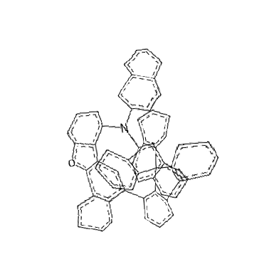 c1ccc2c(c1)-c1ccccc1C21c2ccccc2-c2cccc(-c3cc4c(oc5cccc(N(c6ccc7ccccc7c6)c6ccc7ccccc7c6)c54)c4ccccc34)c21